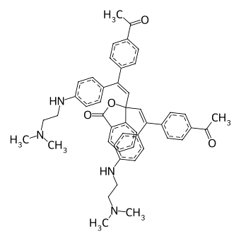 CC(=O)c1ccc(C(=CC2(C=C(c3ccc(NCCN(C)C)cc3)c3ccc(C(C)=O)cc3)OC(=O)c3ccccc32)c2ccc(NCCN(C)C)cc2)cc1